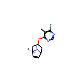 Cc1c(Cl)ncnc1OC1CC2C=C[C@@H](C1)N2